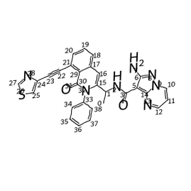 CC(NC(=O)c1c(N)nn2cccnc12)c1cc2cccc(C#Cc3cscn3)c2c(=O)n1-c1ccccc1